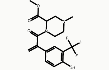 C=C(C(=O)N1CCN(C)CC1C(=O)OC)c1ccc(S)c(C(F)(F)F)c1